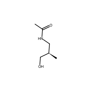 CC(=O)NC[C@@H](C)CO